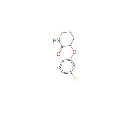 O=C1NCCCC1Oc1c[c]cc(F)c1